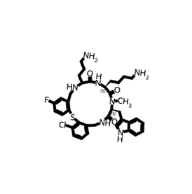 CN1C(=O)[C@H](CCCCN)NC(=O)C(CCCN)NCc2cc(F)ccc2Sc2c(Cl)cccc2CNC(=O)[C@@H]1Cc1c[nH]c2ccccc12